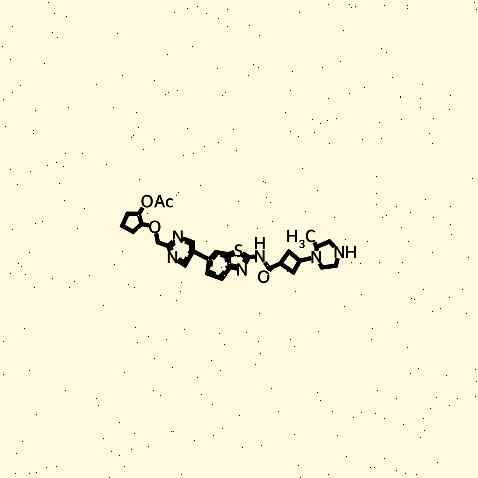 CC(=O)OC1CCCC1OCc1ncc(-c2ccc3nc(NC(=O)C4CC(N5CCNCC5C)C4)sc3c2)cn1